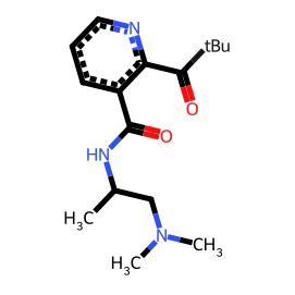 CC(CN(C)C)NC(=O)c1cccnc1C(=O)C(C)(C)C